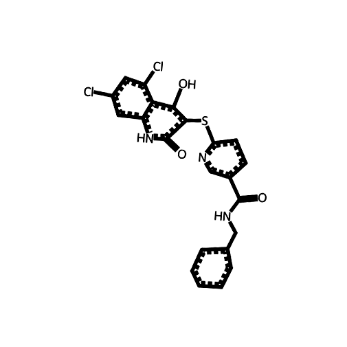 O=C(NCc1ccccc1)c1ccc(Sc2c(O)c3c(Cl)cc(Cl)cc3[nH]c2=O)nc1